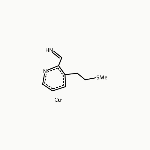 CSCCc1cccnc1C=N.[Cu]